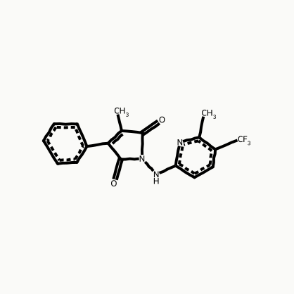 CC1=C(c2ccccc2)C(=O)N(Nc2ccc(C(F)(F)F)c(C)n2)C1=O